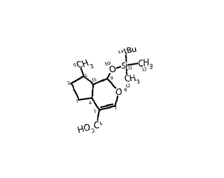 CC1CCC2C(C(=O)O)=COC(O[Si](C)(C)C(C)(C)C)C12